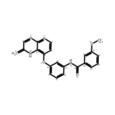 C=C1C=Nc2nccc(Oc3cccc(NC(=O)c4cccc(OC(F)(F)F)c4)c3)c2N1